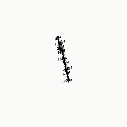 CC(=O)N(O)CCCCCNC(=O)CCC(=O)N(O)CCCCCNC(=O)CCC(=O)N(O)CCCCCNC(=O)c1ccc(C(=O)NCC(=O)N[C@@H](CCCCN2C(=O)C=CC2=O)C(=O)O)cc1